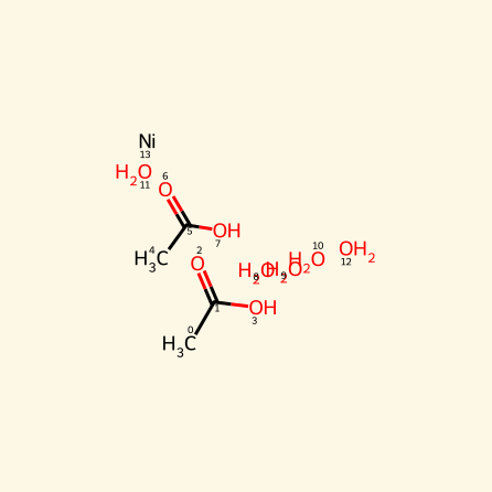 CC(=O)O.CC(=O)O.O.O.O.O.O.[Ni]